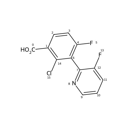 O=C(O)c1ccc(F)c(-c2ncccc2F)c1Cl